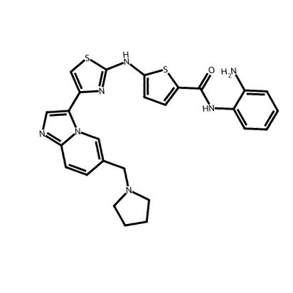 Nc1ccccc1NC(=O)c1ccc(Nc2nc(-c3cnc4ccc(CN5CCCC5)cn34)cs2)s1